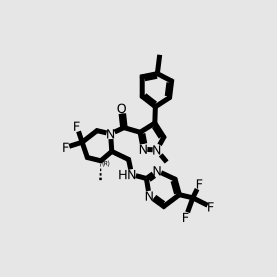 Cc1ccc(-c2cn(C)nc2C(=O)N2CC(F)(F)C[C@@H](C)C2CNc2ncc(C(F)(F)F)cn2)cc1